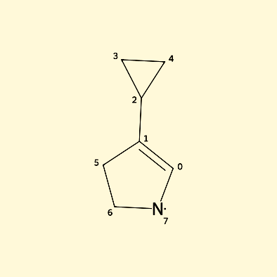 C1=C(C2CC2)CC[N]1